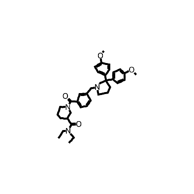 CCN(CC)C(=O)C1CCCN(C(=O)c2cccc(CN3CCCC(c4ccc(OC)cc4)(c4ccc(OC)cc4)C3)c2)C1